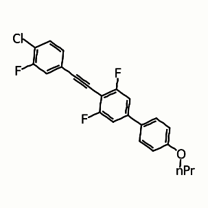 CCCOc1ccc(-c2cc(F)c(C#Cc3ccc(Cl)c(F)c3)c(F)c2)cc1